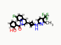 Cc1nc(NC23CC(C(CNC(=O)c4ccccc4O)Cc4ccc(F)cc4)(C2)C3)ccc1C(F)(F)F